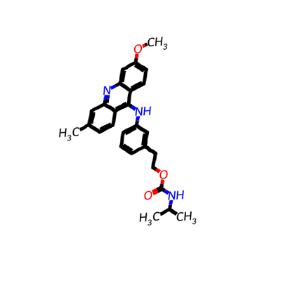 COc1ccc2c(Nc3cccc(CCOC(=O)NC(C)C)c3)c3ccc(C)cc3nc2c1